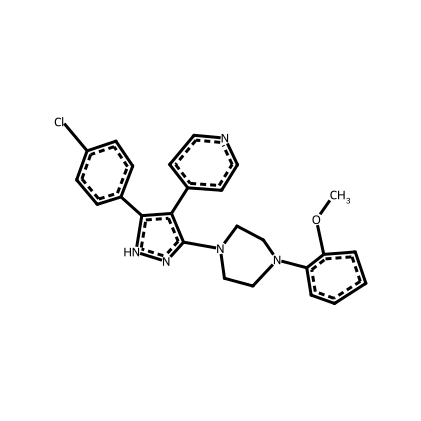 COc1ccccc1N1CCN(c2n[nH]c(-c3ccc(Cl)cc3)c2-c2ccncc2)CC1